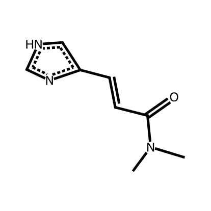 CN(C)C(=O)C=Cc1c[nH]cn1